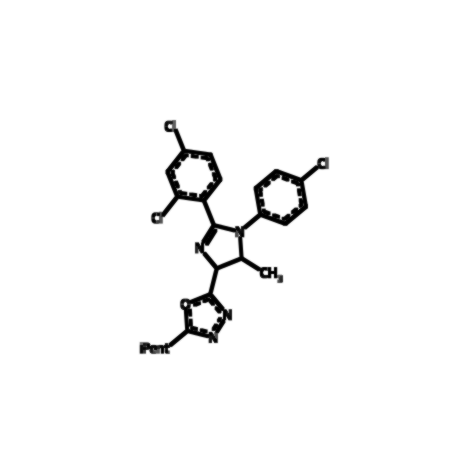 CCCC(C)c1nnc(C2N=C(c3ccc(Cl)cc3Cl)N(c3ccc(Cl)cc3)C2C)o1